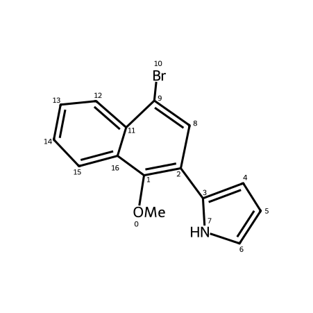 COc1c(-c2ccc[nH]2)cc(Br)c2ccccc12